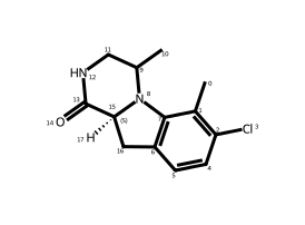 Cc1c(Cl)ccc2c1N1C(C)CNC(=O)[C@@H]1C2